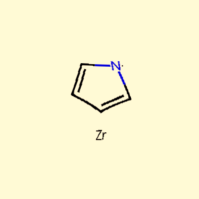 C1=C[N]C=C1.[Zr]